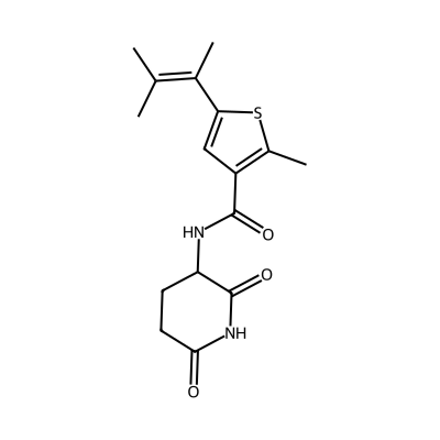 CC(C)=C(C)c1cc(C(=O)NC2CCC(=O)NC2=O)c(C)s1